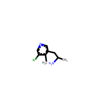 Cc1c(Br)cncc1CC(C)N